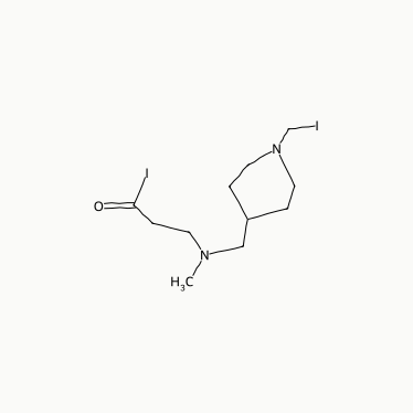 CN(CCC(=O)I)CC1CCN(CI)CC1